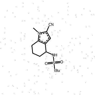 Cn1c(C#N)cc2c1CCCC2NS(=O)(=O)C(C)(C)C